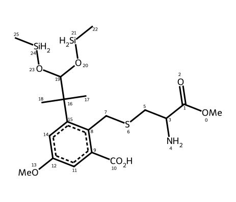 COC(=O)C(N)CSCc1c(C(=O)O)cc(OC)cc1C(C)(C)C(O[SiH2]C)O[SiH2]C